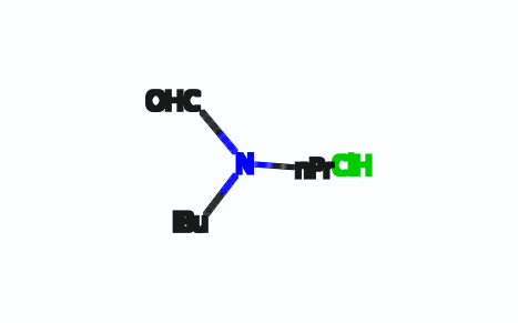 CCCN(C=O)C(C)CC.Cl